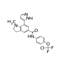 CN1CCc2cc(C(=O)Nc3ccc(OC(F)(F)Cl)cc3)cc(-c3ccn[nH]3)c21